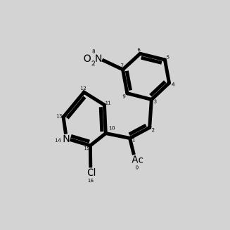 CC(=O)C(=Cc1cccc([N+](=O)[O-])c1)c1cccnc1Cl